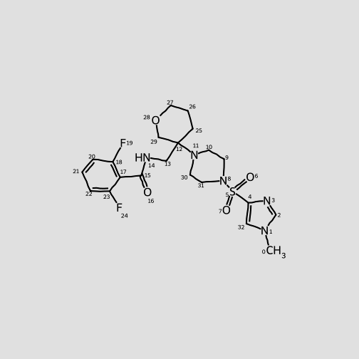 Cn1cnc(S(=O)(=O)N2CCN(C3(CNC(=O)c4c(F)cccc4F)CCCOC3)CC2)c1